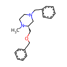 CN1CCN(Cc2ccccc2)C[C@H]1COCc1ccccc1